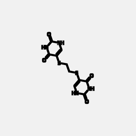 O=c1[nH]cc(SCCSc2c[nH]c(=O)[nH]c2=O)c(=O)[nH]1